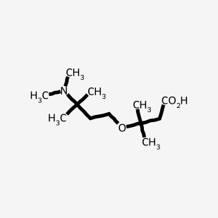 CN(C)C(C)(C)CCOC(C)(C)CC(=O)O